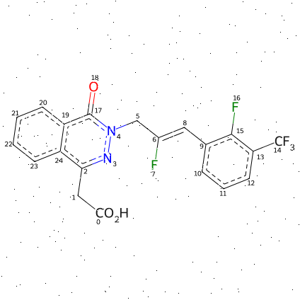 O=C(O)Cc1nn(C/C(F)=C/c2cccc(C(F)(F)F)c2F)c(=O)c2ccccc12